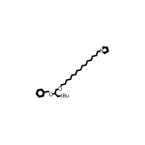 CC(C)(C)CC(COCCCCCCCCCCCCCCCn1cccc1)OCc1ccccc1